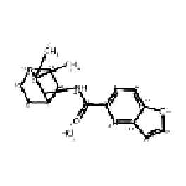 CC1(C)C(NC(=O)c2ccc3occc3n2)C2CCN1CC2.Cl